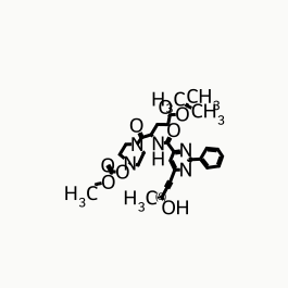 CCOC(=O)ON1CCN(C(=O)C(CCC(=O)OC(C)(C)C)NC(=O)c2cc(C#C[C@H](C)O)nc(-c3ccccc3)n2)CC1